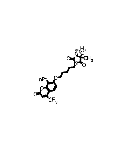 CCCc1c(OCCCCCN2C(=O)N(C(C)C)C(C)(C)C2=O)ccc2c(C(F)(F)F)cc(=O)oc12